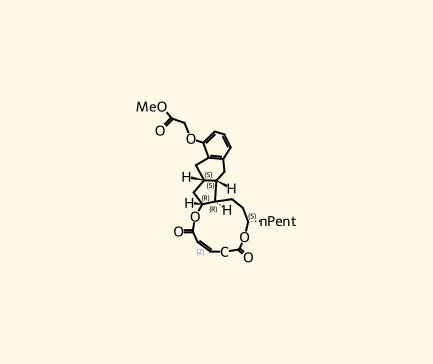 CCCCC[C@H]1CC[C@@H]2[C@H]3Cc4cccc(OCC(=O)OC)c4C[C@H]3C[C@H]2OC(=O)/C=C\CC(=O)O1